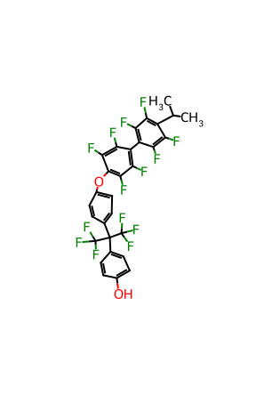 CC(C)c1c(F)c(F)c(-c2c(F)c(F)c(Oc3ccc(C(c4ccc(O)cc4)(C(F)(F)F)C(F)(F)F)cc3)c(F)c2F)c(F)c1F